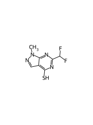 Cn1ncc2c(S)nc(C(F)F)nc21